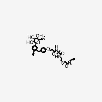 C#CCN(C)C(=O)CN(C)CCNC(=O)C(C)(C)NC(=O)CCOc1ccc(Cc2cc([C@@H]3OC(C#SC)[C@@H](O)[C@H](O)[C@H]3O)ccc2C#C)cc1